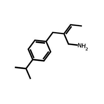 C/C=C(\CN)Cc1ccc(C(C)C)cc1